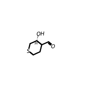 O=CC1CCSC[C@@H]1O